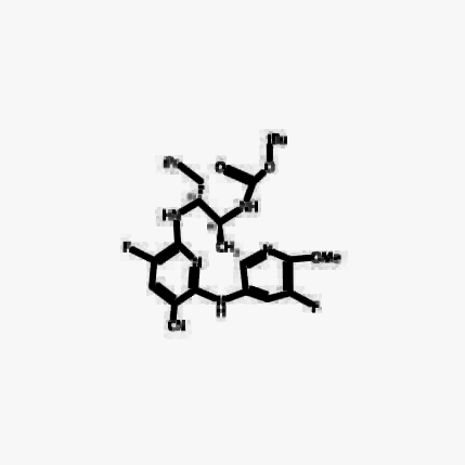 COc1ncc(Nc2nc(N[C@H](CC(C)C)[C@H](C)NC(=O)OC(C)(C)C)c(F)cc2C#N)cc1F